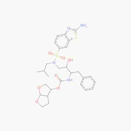 CC(C)CN(CC(O)C(Cc1ccccc1)NC(=O)OC1COC2OCCC12)S(=O)(=O)c1ccc2nc(N)sc2c1